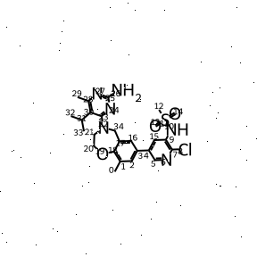 Cc1cc(-c2cnc(Cl)c(NS(C)(=O)=O)c2)cc2c1OCCN(c1nc(N)nc(C)c1C(C)C)C2